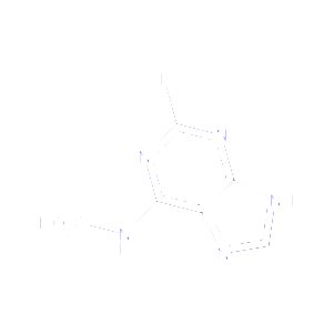 O=C(O)Nc1nc(F)nc2[nH]cnc12